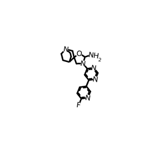 NC1OC2(CN3CCC2CC3)CN1c1cc(-c2ccc(F)nc2)ncn1